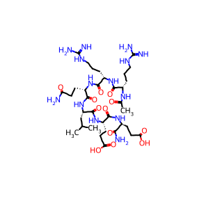 CC(=O)N[C@@H](CCCNC(=N)N)C(=O)N[C@@H](CCCNC(=N)N)C(=O)N[C@@H](CCC(N)=O)C(=O)N[C@@H](CC(C)C)C(=O)N[C@@H](CCC(=O)O)C(=O)N[C@@H](CCC(=O)O)C(N)=O